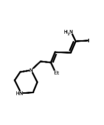 CC/C(=C\C=C(/N)I)CN1CCNCC1